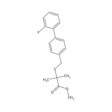 COC(=O)C(C)(C)SCc1ccc(-c2ccccc2F)cc1